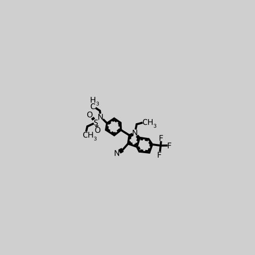 CCN(c1ccc(-c2c(C#N)c3ccc(C(F)(F)F)cc3n2CC)cc1)S(=O)(=O)CC